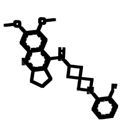 COc1cc2nc3c(c(NC4CC5(C4)CN(c4ccccc4F)C5)c2cc1OC)CCC3